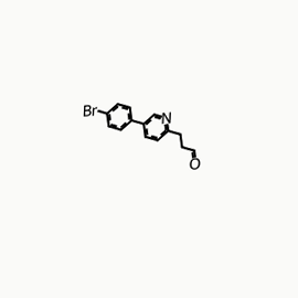 O=CCCc1ccc(-c2ccc(Br)cc2)cn1